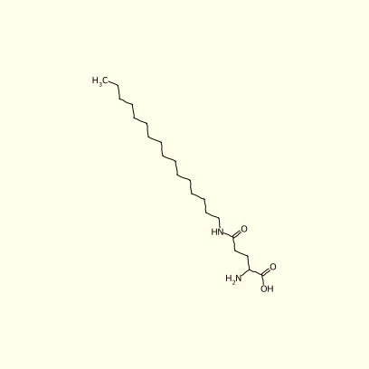 CCCCCCCCCCCCCCCCNC(=O)CCC(N)C(=O)O